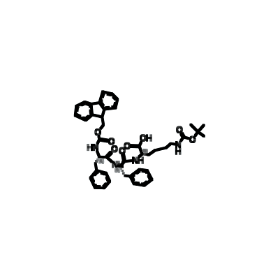 CC(C)(C)OC(=O)NCCCC[C@@H](NC(=O)[C@H](Cc1ccccc1)NC(=O)[C@H](Cc1ccccc1)NC(=O)OCC1c2ccccc2-c2ccccc21)C(=O)O